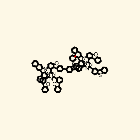 c1ccc(-n2c3cc(-c4ccc5c(c4)oc4ccc(-n6c7cc8ccccc8cc7c7c8ccccc8ccc76)c(-c6nc(-c7cccc8c7oc7ccccc78)nc(-c7cccc8c7oc7ccccc78)n6)c45)ccc3c3ccc(-c4nc(-c5ccc6sc7ccccc7c6c5)nc(-c5c(-n6c7cc8ccccc8cc7c7c8ccccc8ccc76)ccc6oc7ccccc7c56)n4)cc32)cc1